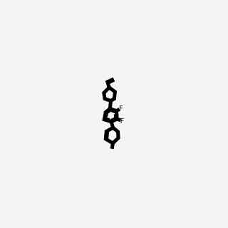 C=CC1CCC(c2ccc(C3C=CC(C)CC3)c(F)c2F)CC1